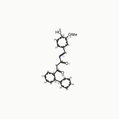 COc1cc(/C=C/C(=O)CC(=O)c2ccccc2-c2ccccc2)ccc1O